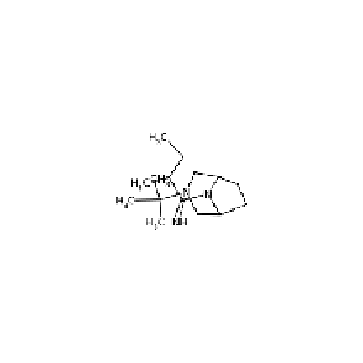 CCC(C)C(=N)N1C2CCC1CN(C(C)(C)C)C2